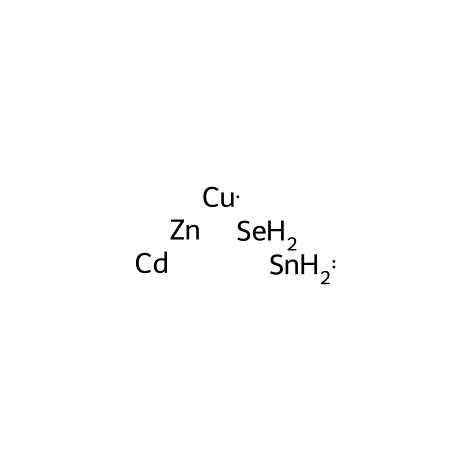 [Cd].[Cu].[SeH2].[SnH2].[Zn]